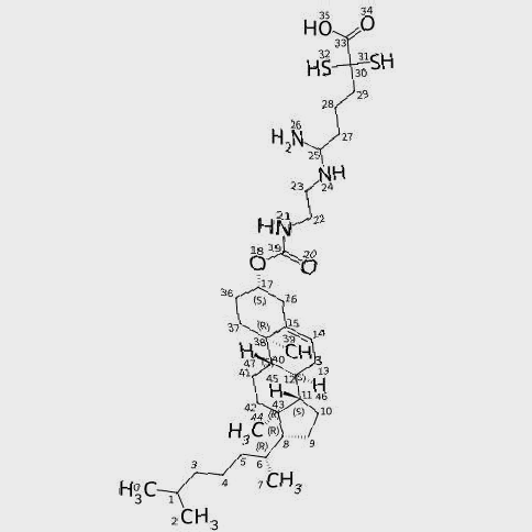 CC(C)CCC[C@@H](C)[C@H]1CC[C@H]2[C@@H]3CC=C4C[C@@H](OC(=O)NCCNC(N)CCCC(S)(S)C(=O)O)CC[C@]4(C)[C@H]3CC[C@]12C